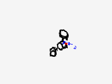 CC(C)C1C2CCC(C3CC4CCC(C5CC6CCCC(C5)C(C)C6)C(C3)C4N)C1CC2